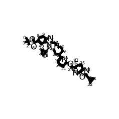 CC(C)(C)OC(=O)c1ccc2nc(CN3CCC(c4cccc(OCc5nc6oc(C7CC7)nc6cc5F)n4)CC3)n(C[C@@H]3CCO3)c2c1